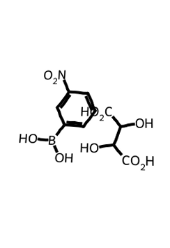 O=C(O)C(O)C(O)C(=O)O.O=[N+]([O-])c1cccc(B(O)O)c1